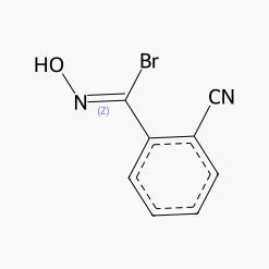 N#Cc1ccccc1/C(Br)=N/O